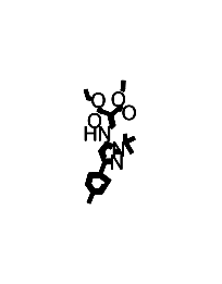 CCOC(=O)C(=CNc1cc(-c2ccc(C)cc2)nn1C(C)(C)C)C(=O)OCC